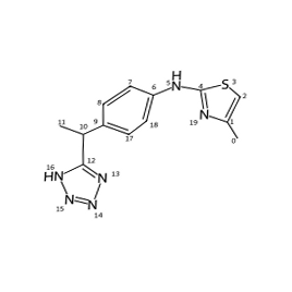 Cc1csc(Nc2ccc(C(C)c3nnn[nH]3)cc2)n1